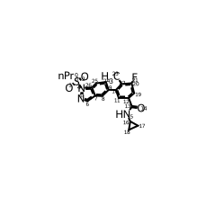 CCCS(=O)(=O)n1ncc2cc(-c3cc(C(=O)NC4CC4)cc(F)c3C)ccc21